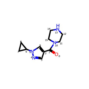 O=C(c1cnn(C2CC2)c1)N1CCNCC1